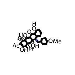 COc1ccc(/C=C2\c3cccc(O)c3C(=O)C3=C(O)[C@@]4(O)C(=O)C(C(C)=O)=C(O)C(C(C)C)[C@@]4(C)[C@H](O)[C@]32C)cc1